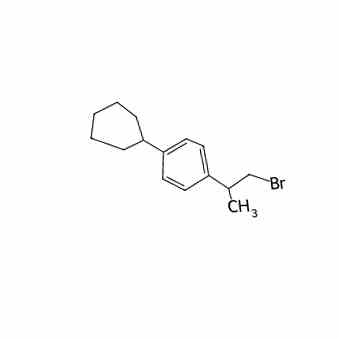 CC(CBr)c1ccc(C2CCCCC2)cc1